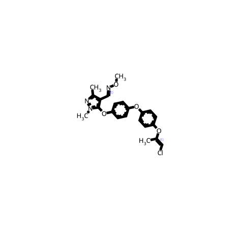 CO/N=C/c1c(C)nn(C)c1Oc1ccc(Oc2ccc(O/C(C)=C/Cl)cc2)cc1